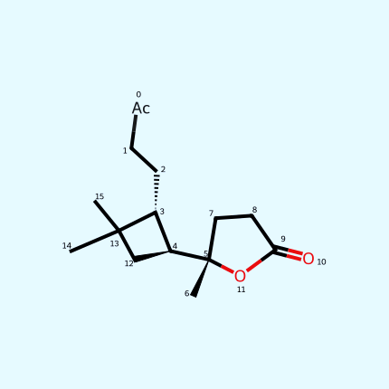 CC(=O)CC[C@@H]1[C@@H]([C@]2(C)CCC(=O)O2)CC1(C)C